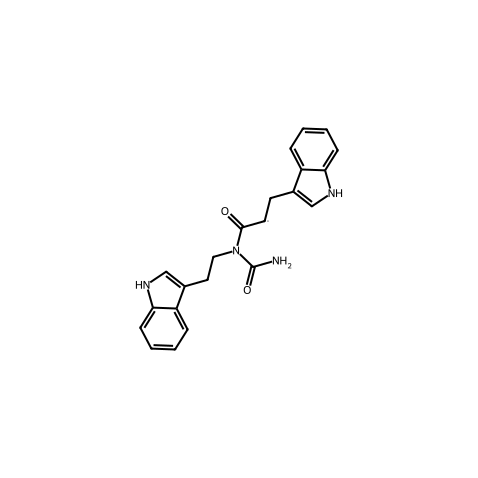 NC(=O)N(CCc1c[nH]c2ccccc12)C(=O)[CH]Cc1c[nH]c2ccccc12